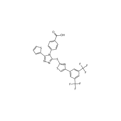 O=C(O)c1ccc(-n2c(Sc3nc(-c4cc(C(F)(F)F)cc(C(F)(F)F)c4)cs3)nnc2-c2cccs2)cc1